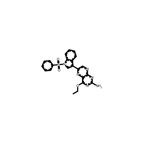 CCOc1nc(N)nc2ncc(-c3cn(S(=O)(=O)c4ccccc4)c4ccccc34)nc12